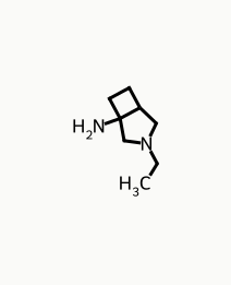 CCN1CC2CCC2(N)C1